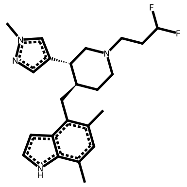 Cc1cc(C)c2[nH]ccc2c1C[C@@H]1CCN(CCC(F)F)C[C@H]1c1cnn(C)c1